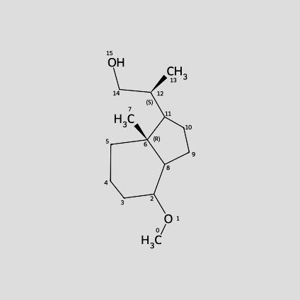 COC1CCC[C@@]2(C)C1CCC2[C@H](C)CO